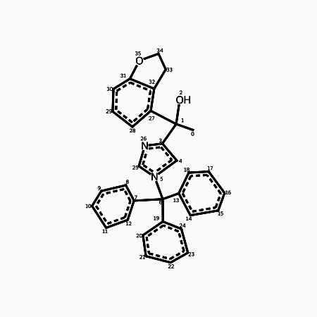 CC(O)(c1cn(C(c2ccccc2)(c2ccccc2)c2ccccc2)cn1)c1cccc2c1CCO2